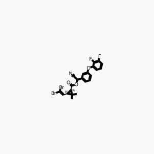 CC1(C)[C@H](C(=O)OC(C#N)c2cccc(Oc3cccc(F)c3F)c2)[C@@H]1C=C(Br)Br